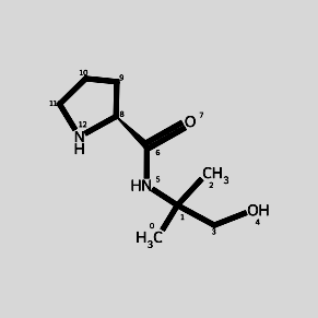 CC(C)(CO)NC(=O)[C@@H]1CCCN1